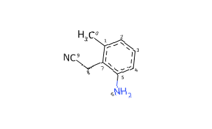 Cc1cccc(N)c1CC#N